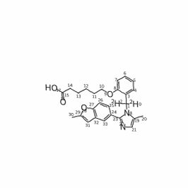 [2H]C([2H])(c1ccccc1OCCCCCC(=O)O)n1c(C)cnc1-c1ccc2oc(C)cc2c1